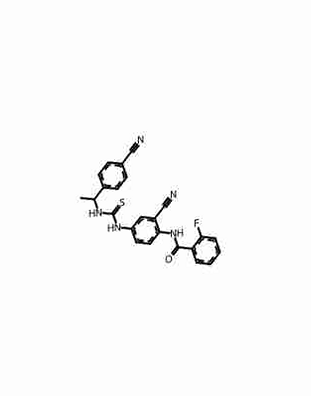 CC(NC(=S)Nc1ccc(NC(=O)c2ccccc2F)c(C#N)c1)c1ccc(C#N)cc1